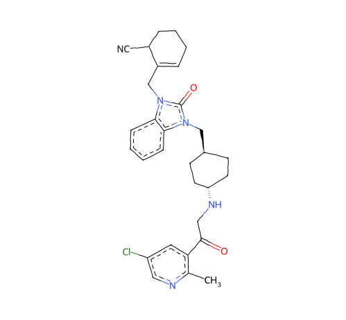 Cc1ncc(Cl)cc1C(=O)CN[C@H]1CC[C@H](Cn2c(=O)n(CC3=CCCCC3C#N)c3ccccc32)CC1